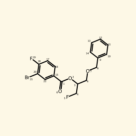 O=C(OC(CF)COCc1ccccc1)c1ccc(F)c(Br)c1